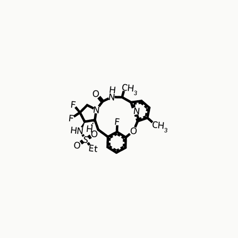 CCS(=O)(=O)N[C@@H]1[C@@H]2Cc3cccc(c3F)Oc3nc(ccc3C)C(C)NC(=O)N2CC1(F)F